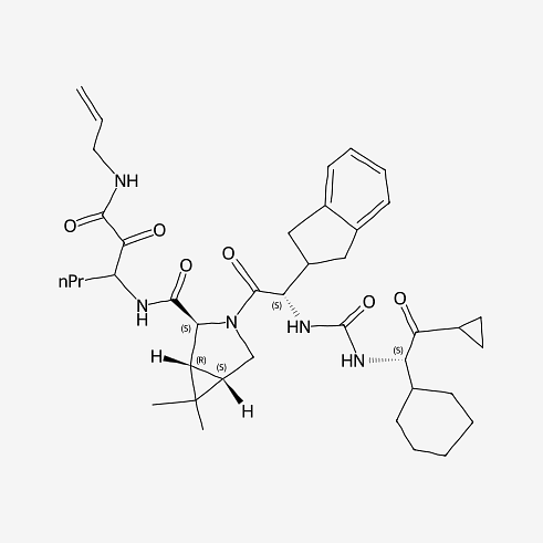 C=CCNC(=O)C(=O)C(CCC)NC(=O)[C@@H]1[C@@H]2[C@H](CN1C(=O)[C@@H](NC(=O)N[C@H](C(=O)C1CC1)C1CCCCC1)C1Cc3ccccc3C1)C2(C)C